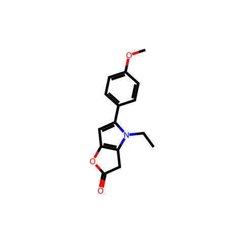 CCn1c(-c2ccc(OC)cc2)cc2c1CC(=O)O2